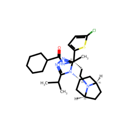 Cc1nnc(C(C)C)n1[C@@H]1C[C@H]2CC[C@@H](C1)N2CC[C@H](NC(=O)C1CCCCC1)c1ccc(Cl)s1